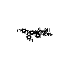 COC(=O)C(O)(CO)COC(=O)c1nn(-c2ccc(N(Cc3ccc(Cl)cc3)Cc3ccc(Cl)cc3)cc2)c2ccccc12